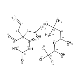 C=CCC1(CC(C)O)C(=O)NC(=O)NC1=O.CC(CC(C)(C)O)OC(O)C(Cl)(Cl)Cl